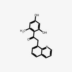 Cc1cc(O)cc(O)c1C(=O)Cc1cccc2cccnc12